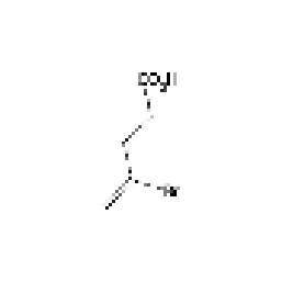 C=C(Br)CCC(=O)O